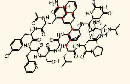 CC(=O)N[C@H](Cc1ccc2c(c1)CC=CC2)C(=O)N[C@H](Cc1ccc(Cl)cc1)C(=O)N[C@H](Cc1cccnc1)C(=O)N[C@@H](CO)C(=O)N[C@@H](Cc1ccc(NC(=O)[C@@H]2CC(=O)NC(=O)N2)cc1)C(=O)N[C@H](Cc1ccc(NC(N)=O)cc1)C(=O)N[C@@H](CC(C)C)C(=O)N[C@@H](CCCCNC(C)C)C(=O)N1CCC[C@H]1C(=O)N[C@H](C)C(N)=O